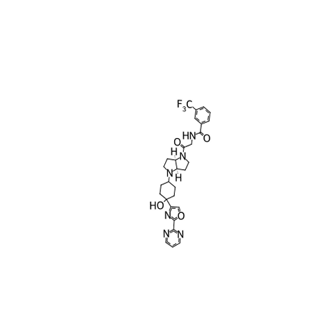 O=C(NCC(=O)N1CC[C@@H]2[C@H]1CCN2C1CCC(O)(c2coc(-c3ncccn3)n2)CC1)c1cccc(C(F)(F)F)c1